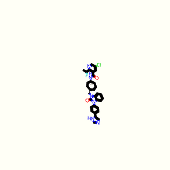 CC(F)c1ncc(Cl)cc1C(=O)N[C@H]1CCC[C@H](Cn2c(=O)n(-c3ccc(-c4cnc[nH]4)cc3)c3ccccc32)CC1